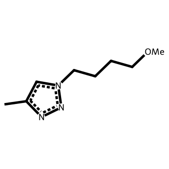 COCCCCn1cc(C)nn1